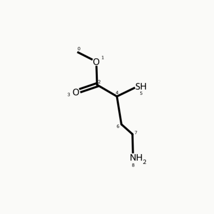 COC(=O)C(S)CCN